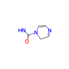 [NH]C(=O)N1C=CN=CC1